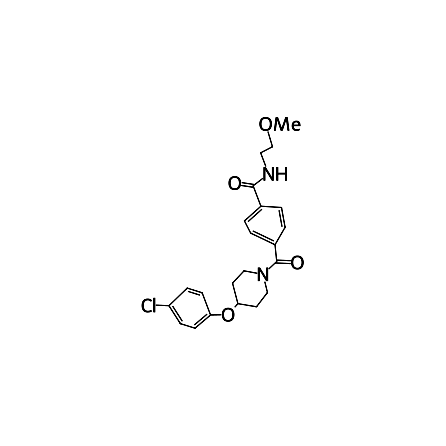 COCCNC(=O)c1ccc(C(=O)N2CCC(Oc3ccc(Cl)cc3)CC2)cc1